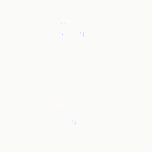 CCNC(=O)[C@H]1CCc2cc(-c3noc(CC)n3)ccc21